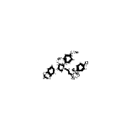 CCCN(CCN1C[C@H](c2ccc3c(c2)OCO3)[C@H](OC(=O)O)[C@H]1c1ccc(OC)cc1)S(=O)(=O)c1ccc(Cl)cc1